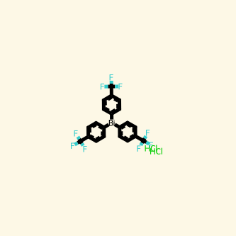 Cl.Cl.FC(F)(F)c1cc[c]([Bi]([c]2ccc(C(F)(F)F)cc2)[c]2ccc(C(F)(F)F)cc2)cc1